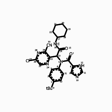 CC(C)(C)c1ccc(N(C(=O)c2cnc[nH]2)C(C(=O)NC2CCCCC2)c2ncc(Cl)nc2C#N)cc1